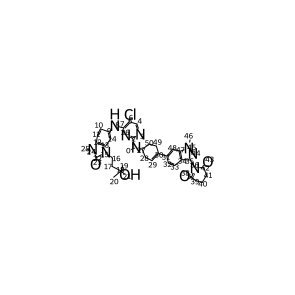 CN(c1ncc(Cl)c(Nc2ccc3c(c2)n(CCC(C)(C)O)c(=O)n3C)n1)C1CC=C(c2ccc3c(N4C(=O)CCCC4=O)nn(C)c3c2)CC1